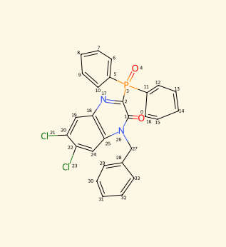 O=c1c(P(=O)(c2ccccc2)c2ccccc2)nc2cc(Cl)c(Cl)cc2n1Cc1ccccc1